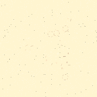 CC[C@@]1(O)C(=O)OCc2c1cc1n(c2=O)Cc2c-1nc1cc(F)c(C)c3c1c2[C@@H](N1CCC(OCNC(=O)CNC(=O)C(Cc2ccccc2)NC(=O)CNC(=O)CNC(=O)CCCCCN2C(=O)C=CC2=O)C1=O)CC3